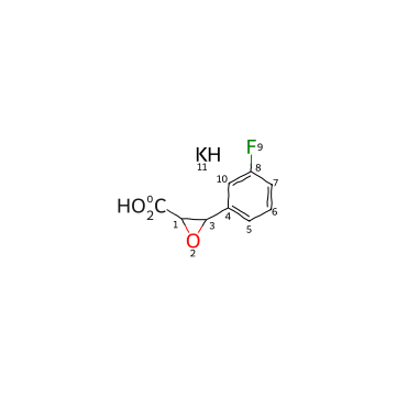 O=C(O)C1OC1c1cccc(F)c1.[KH]